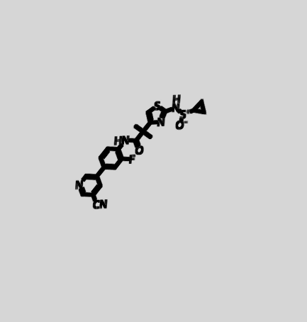 CC(C)(C(=O)Nc1ccc(-c2cncc(C#N)c2)cc1F)c1csc(N[S+]([O-])C2CC2)n1